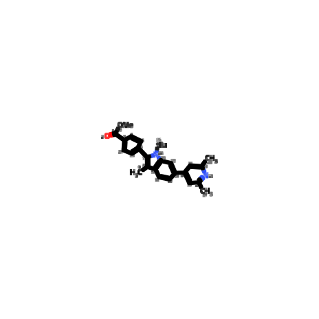 COC(=O)c1ccc(-c2c(C)c3ccc(-c4cc(C)nc(C)c4)cc3n2C(C)(C)C)cc1